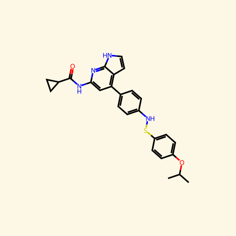 CC(C)Oc1ccc(SNc2ccc(-c3cc(NC(=O)C4CC4)nc4[nH]ccc34)cc2)cc1